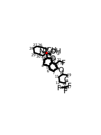 C[C@H](c1ccc2ccc(O[C@H]3CC[C@@H](C(F)(F)F)CC3)c(CF)c2c1)N1C2CCCC1CC(C(=O)O)C2